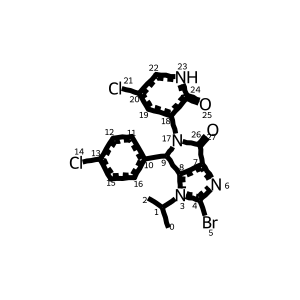 CC(C)n1c(Br)nc2c1C(c1ccc(Cl)cc1)N(c1cc(Cl)c[nH]c1=O)C2=O